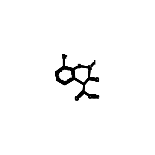 COC(=O)C1C(=O)N(I)Sc2c(Br)cccc21